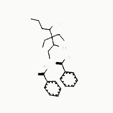 CCCC(O)C(CC)(CC)C(O)CC.O=C(O)c1ccccc1.O=C(O)c1ccccc1